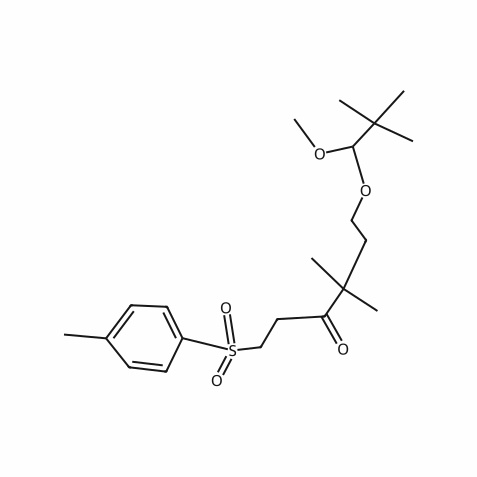 COC(OCCC(C)(C)C(=O)CCS(=O)(=O)c1ccc(C)cc1)C(C)(C)C